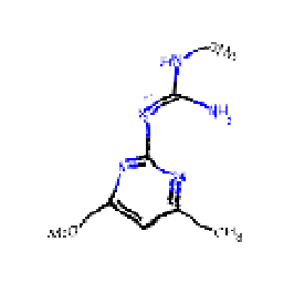 CON/C(N)=N/c1nc(C)cc(OC)n1